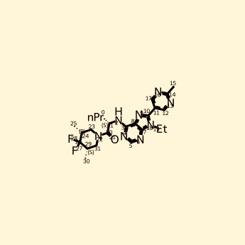 CCC[C@H](Nc1ncnc2c1nc(-c1cnc(C)nc1)n2CC)C(=O)N1C[C@@H](C)C(F)(F)[C@@H](C)C1